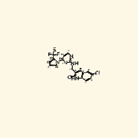 O=c1[nH]c2ccc(Cl)cc2cc1CNc1nccc(-n2cccc2C(F)(F)F)n1